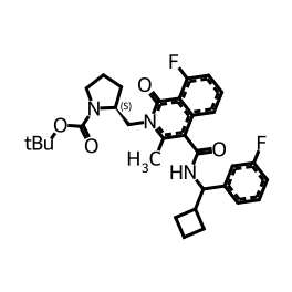 Cc1c(C(=O)NC(c2cccc(F)c2)C2CCC2)c2cccc(F)c2c(=O)n1C[C@@H]1CCCN1C(=O)OC(C)(C)C